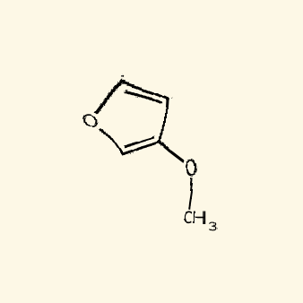 COc1[c][c]oc1